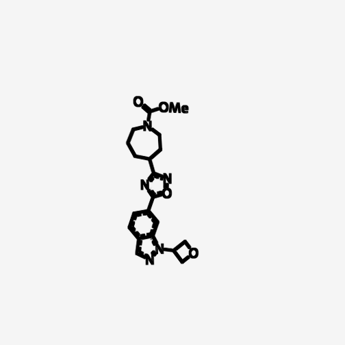 COC(=O)N1CCCC(c2noc(-c3ccc4cnn(C5COC5)c4c3)n2)CC1